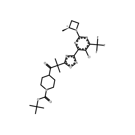 C[C@H]1CCN1c1nc(-c2noc(C(C)(C)C(=O)C3CCN(C(=O)OC(C)(C)C)CC3)n2)c(Cl)c(C(F)(F)F)n1